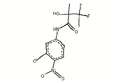 CC(O)(C(=O)Nc1ccc([N+](=O)[O-])c(Cl)c1)C(F)(F)F